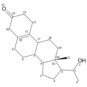 CC(O)C1CCC2C3CCC4=C(CCC(=O)C4)C3CC[C@]12C